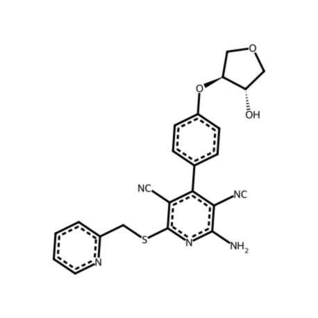 [C-]#[N+]c1c(N)nc(SCc2ccccn2)c(C#N)c1-c1ccc(O[C@H]2COC[C@@H]2O)cc1